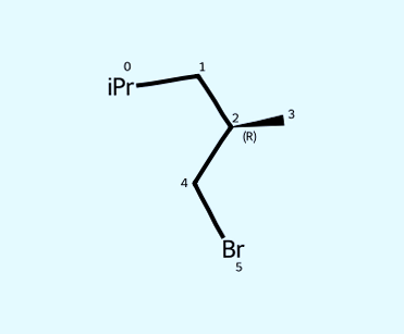 CC(C)C[C@@H](C)CBr